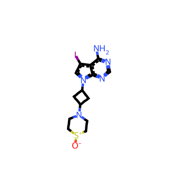 Nc1ncnc2c1c(I)cn2C1CC(N2CC[S+]([O-])CC2)C1